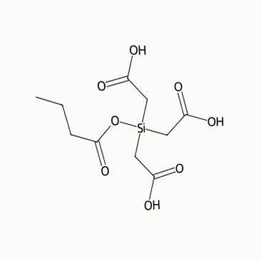 CCCC(=O)O[Si](CC(=O)O)(CC(=O)O)CC(=O)O